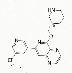 Clc1cncc(-c2cc3nccnc3c(OC[C@H]3CCCNC3)n2)c1